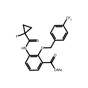 COC(=O)c1cccc(NC(=S)C2(F)CC2)c1OCc1ccc(C(F)(F)F)cc1